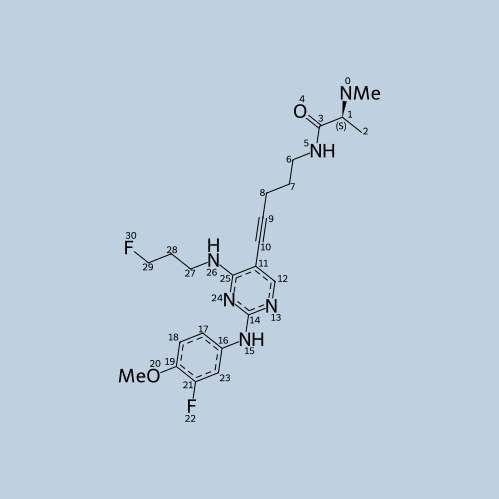 CN[C@@H](C)C(=O)NCCCC#Cc1cnc(Nc2ccc(OC)c(F)c2)nc1NCCCF